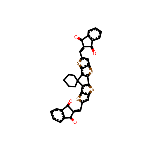 O=C1C(=Cc2cc3sc4c(c3s2)C2(CCCCC2)c2c-4sc3cc(C=C4C(=O)c5ccccc5C4=O)sc23)C(=O)c2ccccc21